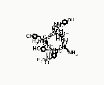 C[C@@H](O)[C@@H]1NC(=O)[C@H](CCCCN)NC(=O)[C@@H](Cc2ccc(CNC(N)=O)cc2)NC(=O)[C@H](Cc2ccc(O)cc2)NC(=O)[C@H](NC(=O)[C@@H](N)Cc2ccc(Cl)cc2)CSSC[C@@H](C(=O)N[C@H](CCc2ccc(O)cc2)C(N)=O)NC1=O